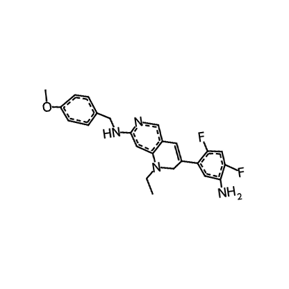 CCN1CC(c2cc(N)c(F)cc2F)=Cc2cnc(NCc3ccc(OC)cc3)cc21